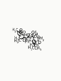 CN1CCN(C[C@@H](NC(=O)N[C@H](C(=O)N2C[C@H]3[C@@H]([C@H]2C(N)=O)C3(C)C)C(C)(C)C)C(C)(C)C)S1(=O)=O